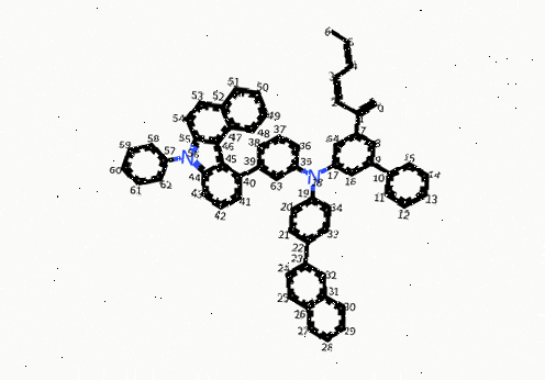 C=C(/C=C\C=C/C)c1cc(-c2ccccc2)cc(N(c2ccc(-c3ccc4ccccc4c3)cc2)c2cccc(-c3cccc4c3c3c5ccccc5ccc3n4-c3ccccc3)c2)c1